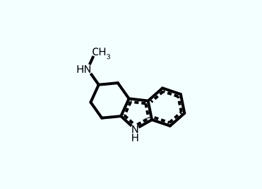 CNC1CCc2[nH]c3ccccc3c2C1